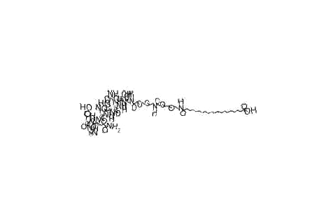 C[C@H](CNC(=O)[C@H](Cc1ccc(O)cc1)NC(=O)[C@H](CCC(N)=O)NC(=O)[C@H](CCN(C)C)NC(=O)[C@H](CO)NC(=O)[C@H](CCC(N)=O)NC(=O)[C@@H](CO)NC(=O)CNC(=O)COCCOCCNC(=O)COCCOCCNC(=O)CCCCCCCCCCCCCCCCCCC(=O)O)N(C)C